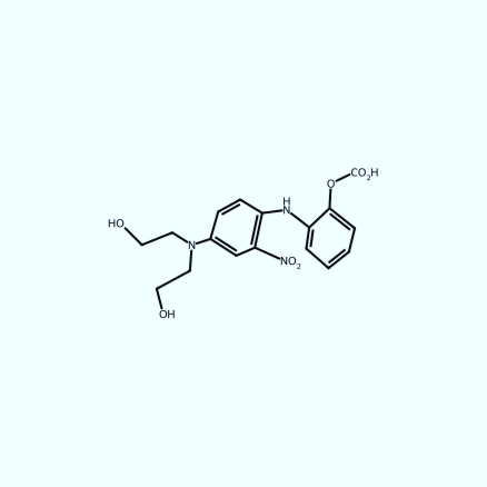 O=C(O)Oc1ccccc1Nc1ccc(N(CCO)CCO)cc1[N+](=O)[O-]